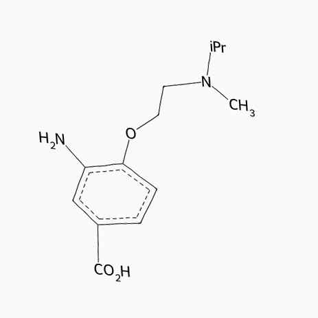 CC(C)N(C)CCOc1ccc(C(=O)O)cc1N